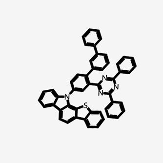 c1ccc(-c2cccc(-c3ccc(-n4c5ccccc5c5ccc6c7ccccc7sc6c54)cc3-c3nc(-c4ccccc4)nc(-c4ccccc4)n3)c2)cc1